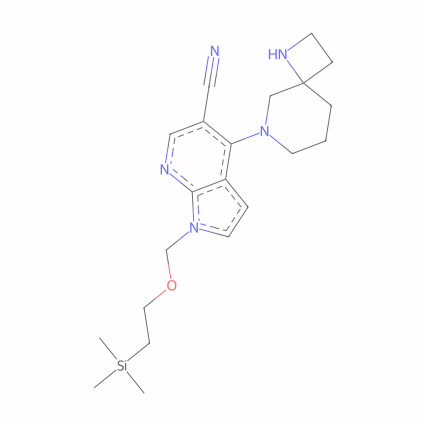 C[Si](C)(C)CCOCn1ccc2c(N3CCCC4(CCN4)C3)c(C#N)cnc21